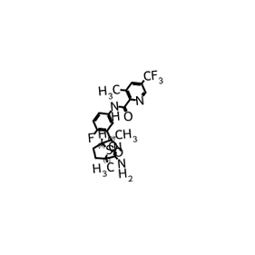 Cc1cc(C(F)(F)F)cnc1C(=O)Nc1ccc(F)c([C@@]2(C)N=C(N)[C@]3(C)CC[C@H]2S3(=O)=O)c1